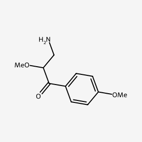 COc1ccc(C(=O)C(CN)OC)cc1